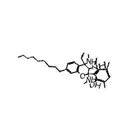 CCCCCCCCCc1ccc2c(c1)OC(NC)(c1cc(C)cc(C)c1O)C(NC)C2(CC)NC